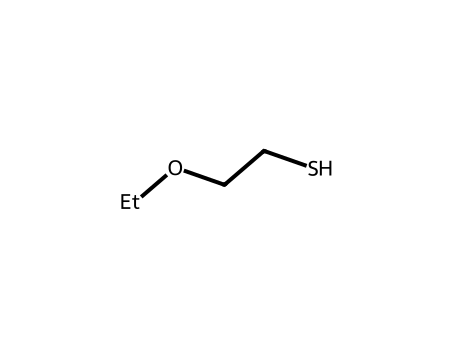 [CH2]COCCS